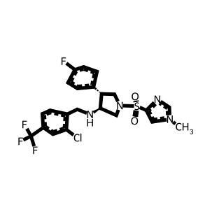 Cn1cnc(S(=O)(=O)N2C[C@@H](NCc3ccc(C(F)(F)F)cc3Cl)[C@H](c3ccc(F)cc3)C2)c1